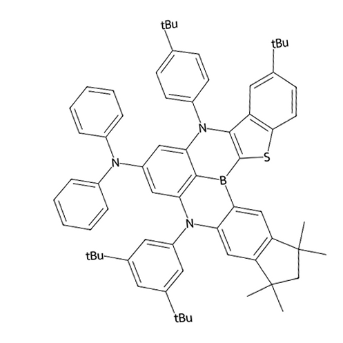 CC(C)(C)c1ccc(N2c3cc(N(c4ccccc4)c4ccccc4)cc4c3B(c3cc5c(cc3N4c3cc(C(C)(C)C)cc(C(C)(C)C)c3)C(C)(C)CC5(C)C)c3sc4ccc(C(C)(C)C)cc4c32)cc1